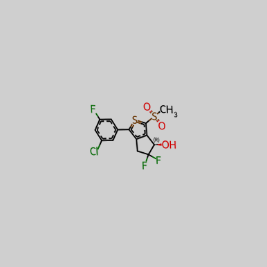 CS(=O)(=O)c1sc(-c2cc(F)cc(Cl)c2)c2c1[C@@H](O)C(F)(F)C2